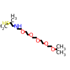 C=[SH]C(C)CNCCOCCOCCOCCOCCOC(C)C